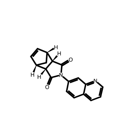 O=C1[C@@H]2[C@H](C(=O)N1c1ccc3cccnc3c1)[C@@H]1C=C[C@H]2C1